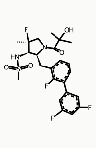 CC(C)(O)C(=O)N1C[C@](C)(F)[C@H](NS(C)(=O)=O)[C@@H]1Cc1cccc(-c2cc(F)cc(F)c2)c1F